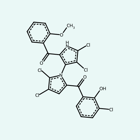 COc1ccccc1C(=O)c1[nH]c(Cl)c(Cl)c1-n1c(C(=O)c2cccc(Cl)c2O)cc(Cl)c1Cl